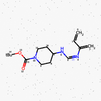 C=CC(=C)/N=C\NC1CCN(C(=O)OC(C)(C)C)CC1